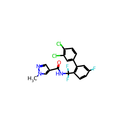 Cn1cc(C(=O)NC(F)(F)c2ccc(F)cc2-c2ccc(Cl)c(Cl)c2)cn1